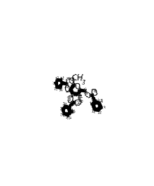 COC1OC(COC(=O)c2ccccc2)C(F)C(OC(=O)c2ccccc2)C1OC(=O)c1ccccc1